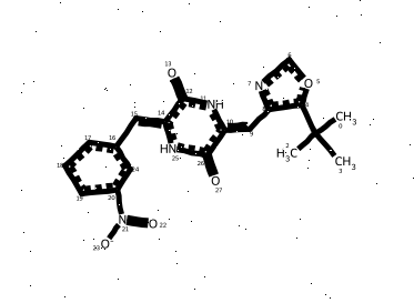 CC(C)(C)c1ocnc1/C=c1\[nH]c(=O)/c(=C/c2cccc([N+](=O)[O-])c2)[nH]c1=O